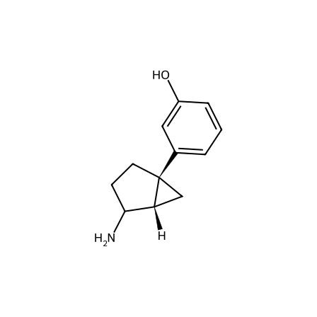 NC1CC[C@]2(c3cccc(O)c3)C[C@H]12